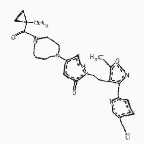 Cc1onc(-c2ccc(Cl)cn2)c1Cn1ncc(N2CCN(C(=O)C3(C)CC3)CC2)cc1=O